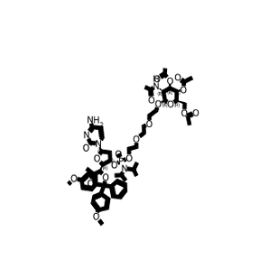 COc1ccc(C(OC(C(C)=O)[C@H]2O[C@@H](n3ccc(N)nc3=O)C[C@@H]2OP(=O)(OCCOCCOCCO[C@@H]2O[C@H](COC(C)=O)[C@H](OC(C)=O)[C@H](OC(C)=O)[C@H]2NC(C)=O)N(C(C)C)C(C)C)(c2ccccc2)c2ccc(OC)cc2)cc1